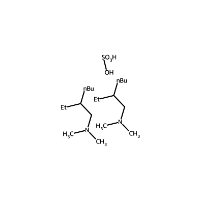 CCCCC(CC)CN(C)C.CCCCC(CC)CN(C)C.O=S(=O)(O)O